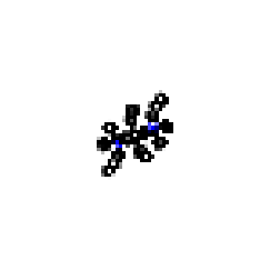 c1ccc(-c2c(-c3ccccc3)n(-c3ccc4cc5ccccc5cc4c3)c3cc4c(-c5ccc6ccccc6c5)c5cc6c(-c7ccccc7)c(-c7ccccc7)n(-c7ccc8cc9ccccc9cc8c7)c6cc5c(-c5ccc6ccccc6c5)c4cc23)cc1